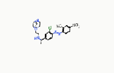 CC(NCC[N+]12CCN(CC1)CC2)c1ccc(N=Nc2ccc([N+](=O)[O-])cc2C#N)c(Cl)c1